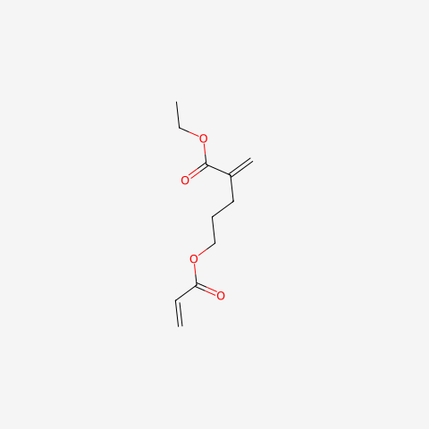 C=CC(=O)OCCCC(=C)C(=O)OCC